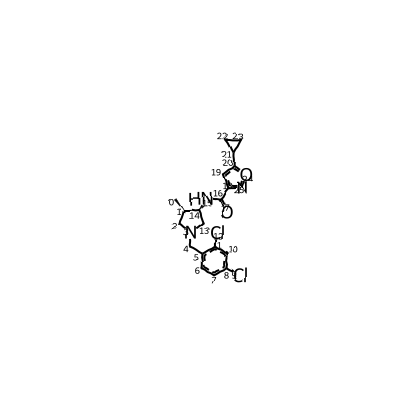 C[C@@H]1CN(Cc2ccc(Cl)cc2Cl)C[C@@H]1NC(=O)c1cc(C2CC2)on1